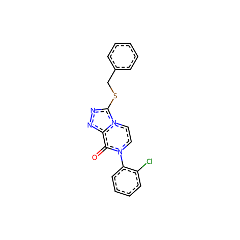 O=c1c2nnc(SCc3ccccc3)n2ccn1-c1ccccc1Cl